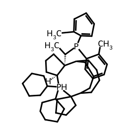 Cc1ccccc1P(c1ccccc1C)C(C)[C@@]12CCC[C@@H]1[PH](C1CCCCC1)(C1CCCCC1)C1(CCCC1)C1CCCCC2CCC1